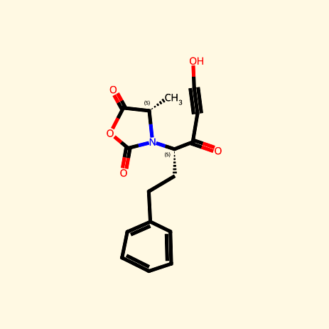 C[C@H]1C(=O)OC(=O)N1[C@@H](CCc1ccccc1)C(=O)C#CO